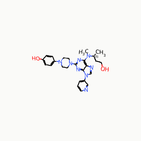 C[C@@H](CCO)N(C)c1nc(N2CCN(c3ccc(O)cc3)CC2)nc2c1ncn2-c1cccnc1